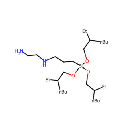 CCCCC(CC)CO[Si](CCCNCCN)(OCC(CC)CCCC)OCC(CC)CCCC